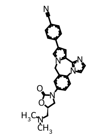 CN(C)C[C@@H]1CN(c2ccc3c(c2)Cn2cc(-c4ccc(C#N)cc4)cc2-c2nccn2-3)C(=O)O1